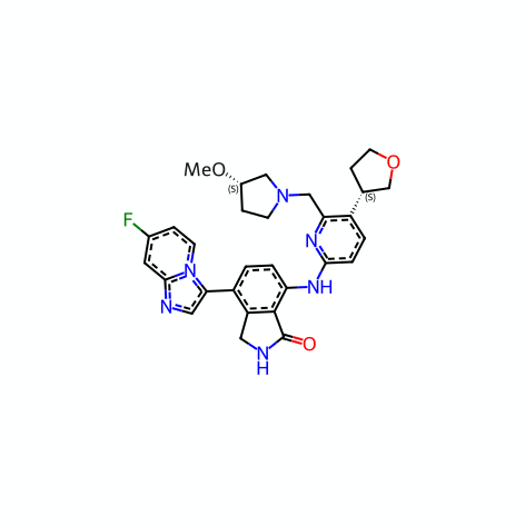 CO[C@H]1CCN(Cc2nc(Nc3ccc(-c4cnc5cc(F)ccn45)c4c3C(=O)NC4)ccc2[C@@H]2CCOC2)C1